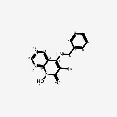 O=c1c(I)c(NCc2ccccc2)c2cncnc2n1O